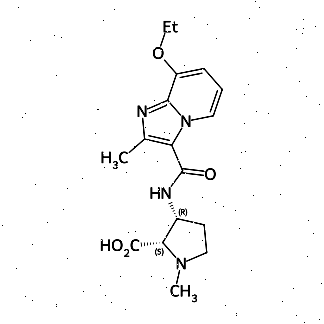 CCOc1cccn2c(C(=O)N[C@@H]3CCN(C)[C@@H]3C(=O)O)c(C)nc12